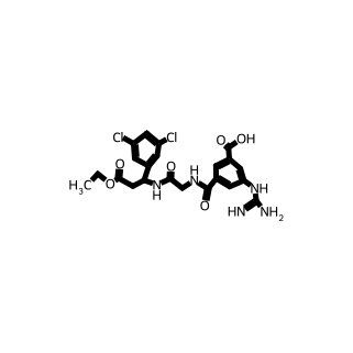 CCOC(=O)CC(NC(=O)CNC(=O)c1cc(NC(=N)N)cc(C(=O)O)c1)c1cc(Cl)cc(Cl)c1